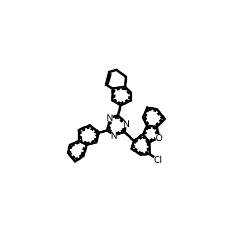 Clc1ccc(-c2nc(-c3ccc4c(c3)C=CCC4)nc(-c3ccc4ccccc4c3)n2)c2c1oc1ccccc12